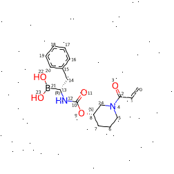 C=CC(=O)N1CCC[C@H](OC(=O)N[C@@H](Cc2ccccc2)B(O)O)C1